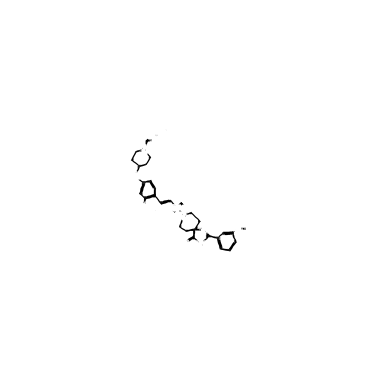 Cc1cc(OC2CCN(C(=O)OC(C)(C)C)CC2)ccc1/C=C/S(=O)(=O)N1CCC2(CC1)N=C(c1cccc(OF)c1)NC2=O